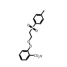 Cc1ccc(S(=O)(=O)CCOOc2ccccc2C(=O)O)cc1